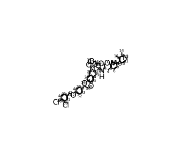 COC(=O)[C@H](Cc1ccc(-c2ccnc(C)c2C)cc1)NC(=O)[C@@H]1Cc2cc3c(cc2CN1C(=O)OC(C)(C)C)O[C@H](c1ccc(OCc2ccc(Cl)c(Cl)c2)cc1)CO3